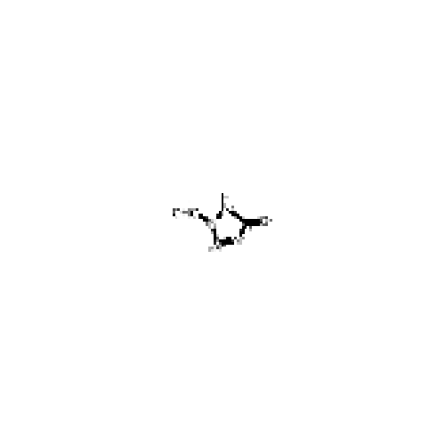 O=Cn1nnc(=O)[nH]1